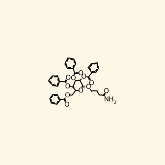 NC(=O)CCCO[C@@H]1OC(COC(=O)c2ccccc2)[C@@H](OC(=O)c2ccccc2)C(OC(=O)c2ccccc2)C1OC(=O)c1ccccc1